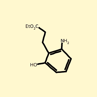 CCOC(=O)CCc1c(N)cccc1O